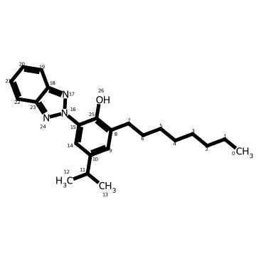 CCCCCCCCc1cc(C(C)C)cc(-n2nc3ccccc3n2)c1O